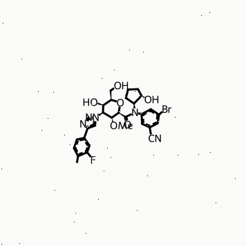 CO[C@@H]1[C@@H](n2cc(-c3ccc(C)c(F)c3)nn2)[C@@H](O)[C@@H](CO)O[C@H]1C(=O)N(c1cc(Br)cc(C#N)c1)[C@H]1CCC[C@@H]1O